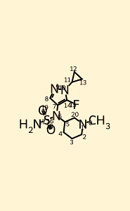 CN1CCCC(N(c2cnn(C3CC3)c2F)S(N)(=O)=O)C1